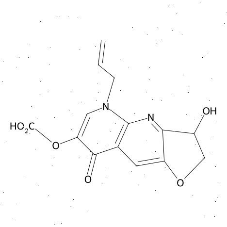 C=CCn1cc(OC(=O)O)c(=O)c2cc3c(nc21)C(O)CO3